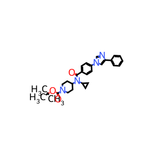 CC(C)(C)OC(=O)N1CCC(N(C(=O)c2ccc(-n3cnc(-c4ccccc4)c3)cc2)C2CC2)CC1